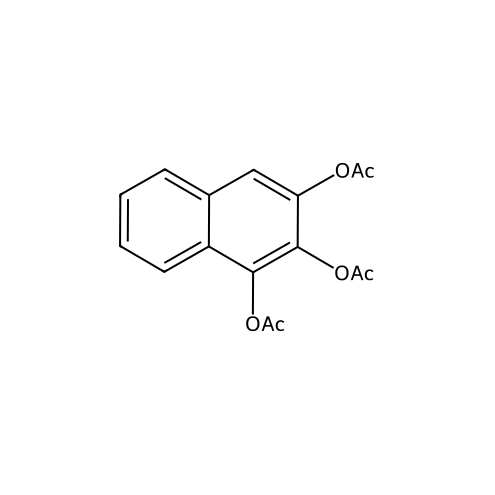 CC(=O)Oc1cc2ccccc2c(OC(C)=O)c1OC(C)=O